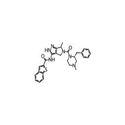 CC1c2n[nH]c(NC(=O)c3cc4ccccc4s3)c2CN1C(=O)N1CCN(C)C[C@@H]1Cc1ccccc1